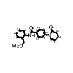 COCc1ccncc1NC(=O)c1ccc(N2C=CCCC2=O)cc1